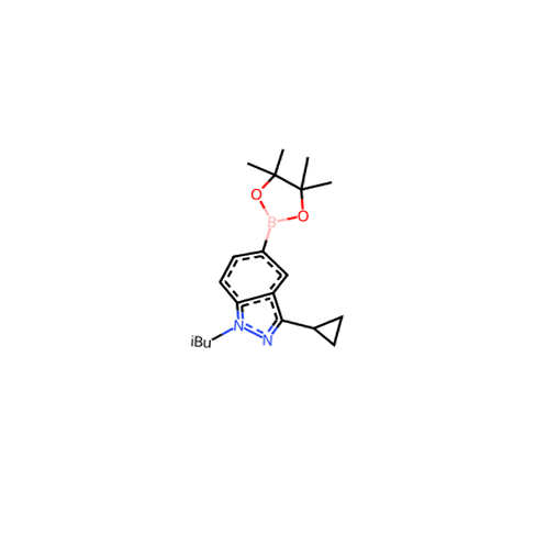 CCC(C)n1nc(C2CC2)c2cc(B3OC(C)(C)C(C)(C)O3)ccc21